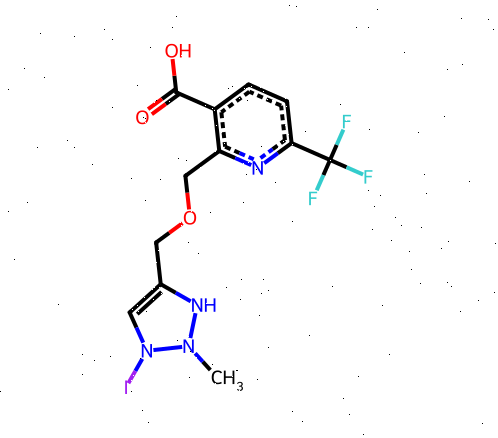 CN1NC(COCc2nc(C(F)(F)F)ccc2C(=O)O)=CN1I